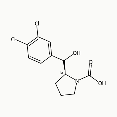 O=C(O)N1CCC[C@H]1C(O)c1ccc(Cl)c(Cl)c1